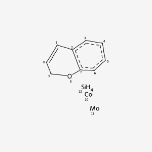 C1=Cc2ccccc2OC1.[Co].[Mo].[SiH4]